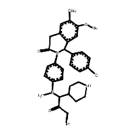 CCC(C)Oc1cc2c(cc1OC)CC(=O)N(c1ccc(N(C)C(C(=O)CC(C)C)C3CCNCC3)cc1)C2c1ccc(Cl)cc1